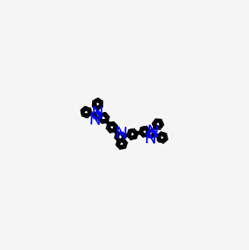 c1ccc(-c2nc3cc(-c4ccc(-c5cc6ccccc6c(-c6ccc(-c7ccc8c(c7)nc(-c7ccccc7)n8-c7ccccc7)cc6)n5)cc4)ccc3n2-c2ccccc2)cc1